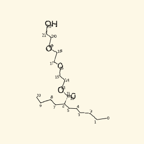 CCCCCCC(CCCC)C(=O)OCCOCCOCCO